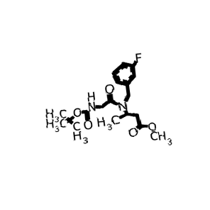 COC(=O)CC(C)N(Cc1cccc(F)c1)C(=O)CNC(=O)OC(C)(C)C